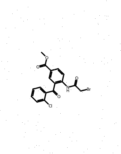 COC(=O)c1ccc(NC(=O)CBr)c(C(=O)c2ccccc2Cl)c1